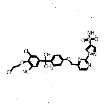 CC(C)(c1ccc(OCc2ccnc(-n3cc(S(N)(=O)=O)cn3)n2)cc1)c1cc(Cl)c(OCCCl)c(C#N)c1